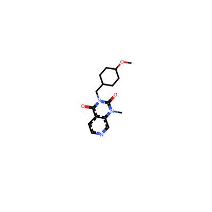 COC1CCC(Cn2c(=O)c3ccncc3n(C)c2=O)CC1